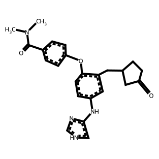 CN(C)C(=O)c1ccc(Oc2ccc(Nc3c[nH]cn3)cc2CC2CCC(=O)C2)cc1